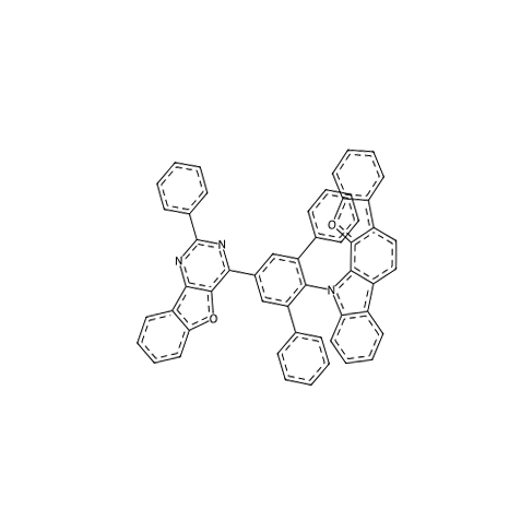 c1ccc(-c2nc(-c3cc(-c4ccccc4)c(-n4c5ccccc5c5ccc6c7ccccc7oc6c54)c(-c4ccccc4)c3)c3oc4ccccc4c3n2)cc1